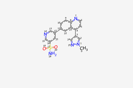 Cn1cc(-c2ccnc3ccc(-c4cncc(S(N)(=O)=O)c4)cc23)cn1